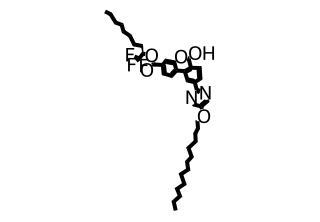 CCCCCCCCCCCCCCOc1cnc(-c2ccc(C(=O)O)c(-c3ccc(C(=O)O[C@H](CCCCCCCC)C(F)(F)F)cc3)c2)nc1